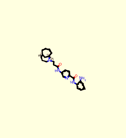 Nc1ccccc1NC(=O)c1ccc(NC(=O)CCN2CCC[C@@H]3CCCC[C@H]2C3)cn1